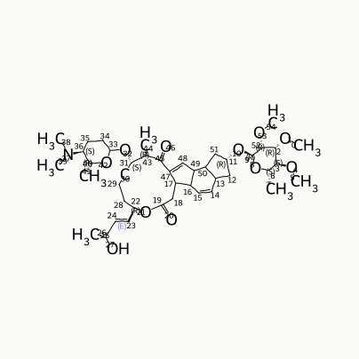 CO[C@@H]1[C@@H](OC)[C@H](C)O[C@@H](O[C@@H]2CC3C=CC4C5CC(=O)O[C@@H](/C=C/C(C)O)CCC[C@H](OC6CC[C@H](N(C)C)[C@@H](C)O6)[C@@H](C)C(=O)C5=CC4C3C2)[C@@H]1OC